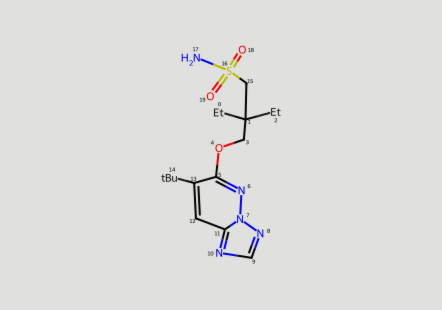 CCC(CC)(COc1nn2ncnc2cc1C(C)(C)C)CS(N)(=O)=O